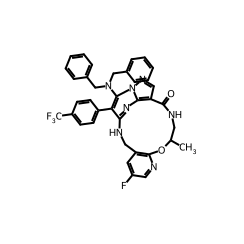 CC1CNC(=O)c2cnn3c(N(Cc4ccccc4)Cc4ccccc4)c(-c4ccc(C(F)(F)F)cc4)c(nc23)NCc2cc(F)cnc2O1